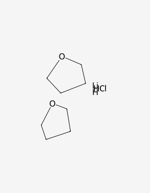 C1CCOC1.C1CCOC1.Cl.[LiH]